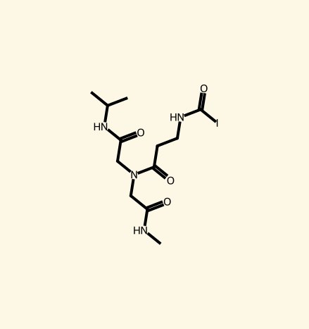 CNC(=O)CN(CC(=O)NC(C)C)C(=O)CCNC(=O)I